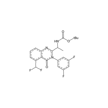 CC(NC(=O)OC(C)(C)C)c1nc2cccc(C(F)F)c2c(=O)n1-c1cc(F)cc(F)c1